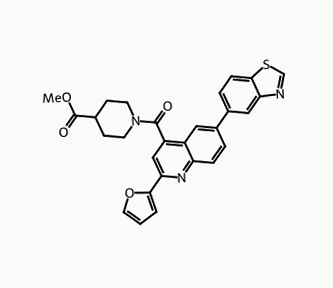 COC(=O)C1CCN(C(=O)c2cc(-c3ccco3)nc3ccc(-c4ccc5scnc5c4)cc23)CC1